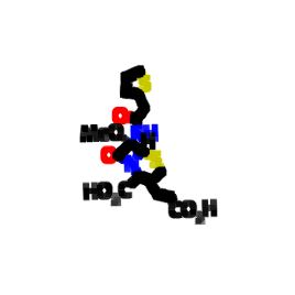 CO[C@@]1(NC(=O)Cc2cccs2)C(=O)N2C(C(=O)O)=C(/C=C/C(=O)O)CS[C@@H]21